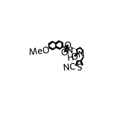 COc1ccc2ccc(S(=O)(=O)NC[C@@H]3CCN(Cc4csc(C#N)c4)C3=O)cc2c1